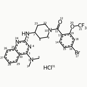 CN(C)c1nc(NC2CCN(C(=O)c3ccc(Br)cc3OC(F)(F)F)CC2)nc2ccccc12.Cl